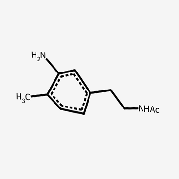 CC(=O)NCCc1ccc(C)c(N)c1